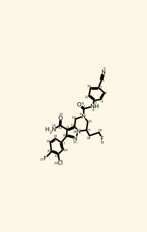 N#Cc1ccc(NC(=O)N2Cc3c(C(N)=O)c(-c4ccc(F)c(Cl)c4)nn3C(CCF)C2)cc1